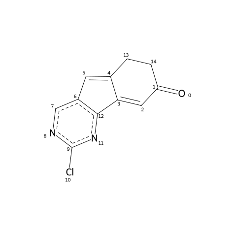 O=C1C=C2C(=Cc3cnc(Cl)nc32)CC1